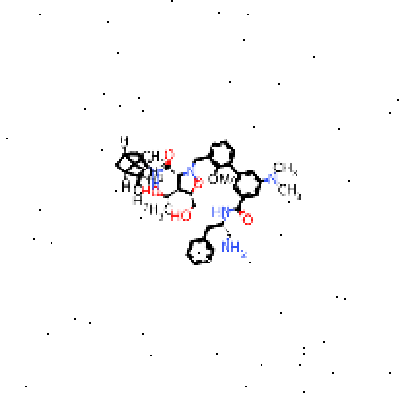 COc1c(CN2O[C@@H](CO)[C@@H]([C@H](C)O)[C@H]2C(=O)N[C@H]2C[C@H]3C[C@@H]([C@@H]2C)C3(C)C)cccc1-c1cc(C(=O)N[C@H](CN)Cc2ccccc2)cc(N(C)C)c1